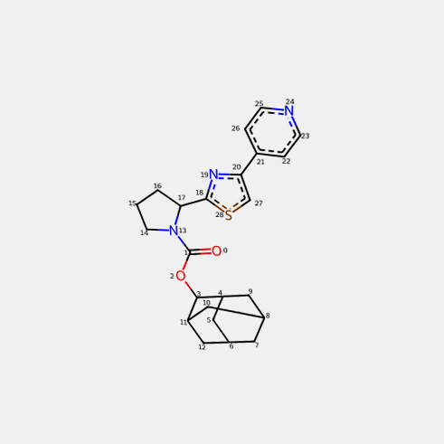 O=C(OC1C2CC3CC(C2)CC1C3)N1CCCC1c1nc(-c2ccncc2)cs1